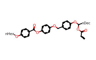 C=CC(=O)OC(CCCCCCCCCC)Oc1ccc(COc2ccc(OC(=O)c3ccc(OCCCCCC)cc3)cc2)cc1